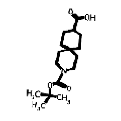 CC(C)(C)OC(=O)N1CCC2(CCC(C(=O)O)CC2)CC1